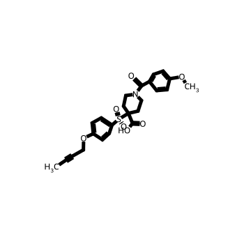 CC#CCOc1ccc(S(=O)(=O)C2(C(=O)O)CCN(C(=O)c3ccc(OC)cc3)CC2)cc1